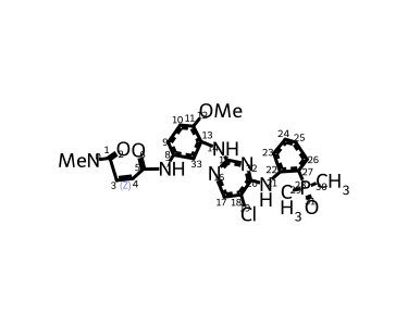 CNC(=O)/C=C\C(=O)Nc1ccc(OC)c(Nc2ncc(Cl)c(Nc3ccccc3P(C)(C)=O)n2)c1